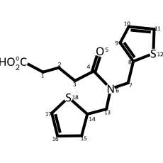 O=C(O)CCCC(=O)N(Cc1cccs1)CC1CC=CS1